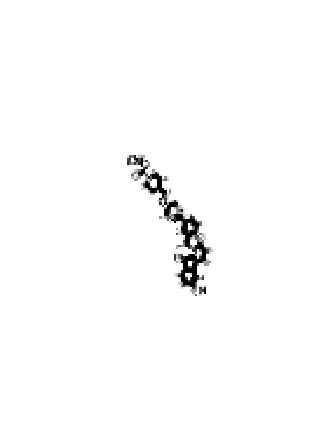 C[C@H](c1cccc(-c2ncc(OCC3CCN(C(=O)OC(C)(C)C)CC3)cn2)c1)n1c2c(ccc1=O)-c1cc(C#N)ccc1C2=O